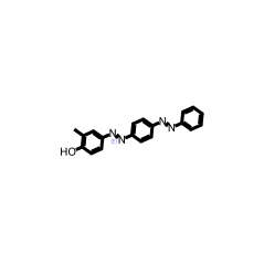 Cc1cc(/N=N/c2ccc(N=Nc3ccccc3)cc2)ccc1O